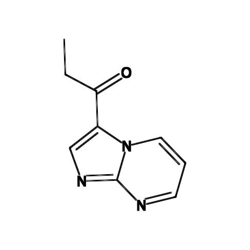 CCC(=O)c1cnc2ncccn12